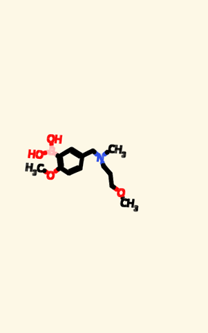 COCCCN(C)Cc1ccc(OC)c(B(O)O)c1